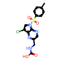 Cc1ccc(S(=O)(=O)n2cc(Cl)c3nc(CNC(=O)O)cnc32)cc1